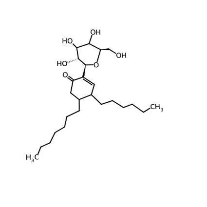 CCCCCCCC1CC(=O)C([C@@H]2O[C@H](CO)C(O)C(O)[C@H]2O)=CC1CCCCCC